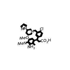 CNc1c(OC)cc(C(CC(=O)O)c2ccc(Cl)c(CN3CCCC(n4cccn4)C3)c2)c(C)c1N